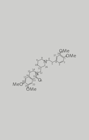 COc1ccc(CCN2CCCC(CN3CCc4cc(OC)c(OC)cc4C3=O)C2)cc1OC